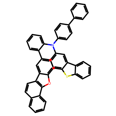 c1ccc(-c2ccc(N(c3ccc4sc5ccccc5c4c3)c3ccccc3-c3ccc4oc5c6ccccc6ccc5c4c3)cc2)cc1